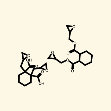 O=C(O)C1(CC2CO2)CCCCC1(CC1CO1)C(=O)O.O=C(OCC1CO1)C1CCCCC1C(=O)OCC1CO1